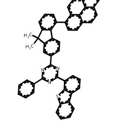 CC1(C)c2cc(-c3nc(-c4ccccc4)nc(-c4cccc5c4sc4ccccc45)n3)ccc2-c2c(-c3ccc4ccc5cccc6ccc3c4c56)cccc21